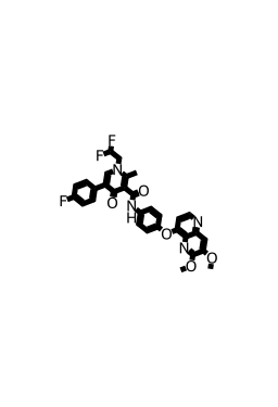 COc1cc2nccc(Oc3ccc(NC(=O)c4c(C)n(CC(F)F)cc(-c5ccc(F)cc5)c4=O)cc3)c2nc1OC